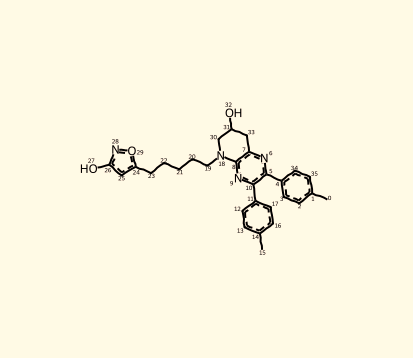 Cc1ccc(-c2nc3c(nc2-c2ccc(C)cc2)N(CCCCCc2cc(O)no2)CC(O)C3)cc1